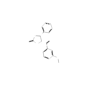 COc1cccc(C(=O)[C@@H]2OC(=O)N[C@H]2c2ccccc2)c1